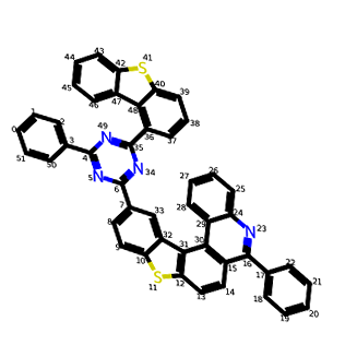 c1ccc(-c2nc(-c3ccc4sc5ccc6c(-c7ccccc7)nc7ccccc7c6c5c4c3)nc(-c3cccc4sc5ccccc5c34)n2)cc1